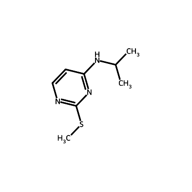 CSc1nccc(NC(C)C)n1